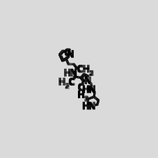 C=C(CCc1ccccn1)NC(=C)c1ccn(CNCC2CCNCC2)c1C